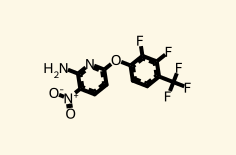 Nc1nc(Oc2ccc(C(F)(F)F)c(F)c2F)ccc1[N+](=O)[O-]